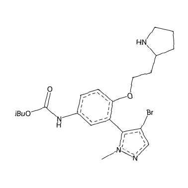 CC(C)COC(=O)Nc1ccc(OCCC2CCCN2)c(-c2c(Br)cnn2C)c1